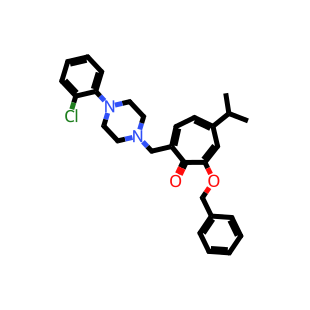 CC(C)c1ccc(CN2CCN(c3ccccc3Cl)CC2)c(=O)c(OCc2ccccc2)c1